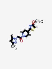 Cc1cc(C(F)(F)F)nn1CC(=O)N1CCC(c2nc(OC=O)cs2)CC1